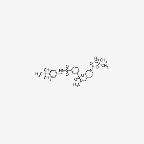 CN(CC1CCN(C(=O)OC(C)(C)C)CC1)S(=O)(=O)c1cccc(S(=O)(=O)NCc2ccc(C(C)(C)C)cc2)c1